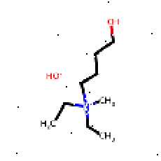 CC[N+](C)(CC)CCCCO.[OH-]